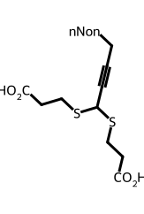 CCCCCCCCCCC#CC(SCCC(=O)O)SCCC(=O)O